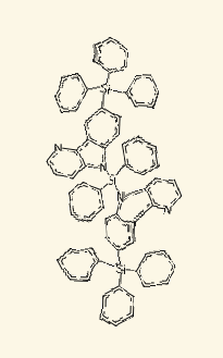 c1ccc([Si](c2ccccc2)(c2ccccc2)c2ccc3c(c2)c2ncccc2n3[Si](c2ccccc2)(c2ccccc2)n2c3ccc([Si](c4ccccc4)(c4ccccc4)c4ccccc4)cc3c3ncccc32)cc1